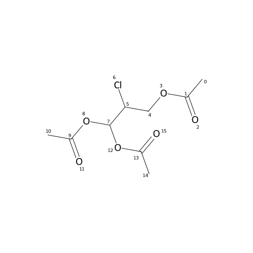 CC(=O)OCC(Cl)C(OC(C)=O)OC(C)=O